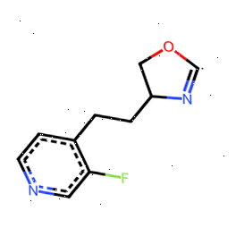 Fc1cnccc1CCC1CO[C]=N1